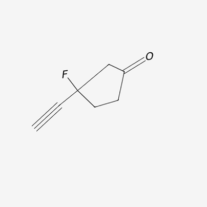 C#CC1(F)CCC(=O)C1